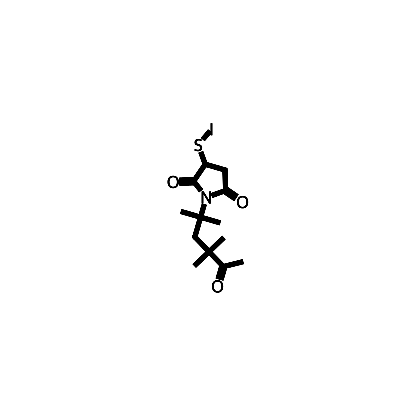 CC(=O)C(C)(C)CC(C)(C)N1C(=O)CC(SI)C1=O